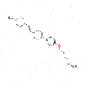 COCCCCOc1ccc(C2CCC(C=CC3CCC(C)CC3)CC2)cc1